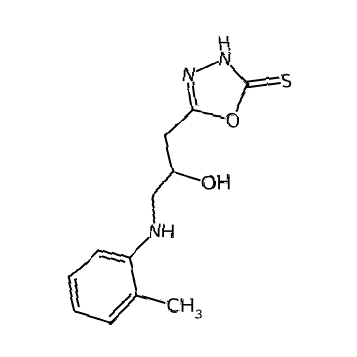 Cc1ccccc1NCC(O)Cc1n[nH]c(=S)o1